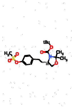 CC(C)(C)OC(=O)N1[C@@H](CCc2ccc(OS(C)(=O)=O)cc2)COC1(C)C